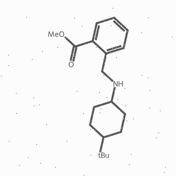 COC(=O)c1ccccc1CNC1CCC(C(C)(C)C)CC1